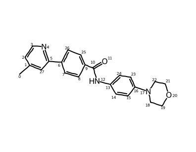 Cc1ccnc(-c2ccc(C(=O)Nc3ccc(N4CCOCC4)cc3)cc2)c1